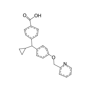 O=C(O)c1ccc(C(c2ccc(OCc3ccccn3)cc2)C2CC2)cc1